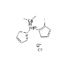 CC1=[C]([Hf+2]([C]2=CC=CC2)[GeH]([CH3])[CH3])CC=C1.[Cl-].[Cl-]